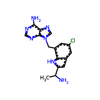 CC(N)c1cc2cc(Cl)cc(Cn3cnc4c(N)ncnc43)c2[nH]1